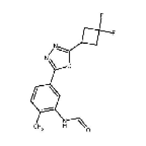 Cc1ccc(-c2nnc(C3CC(F)(F)C3)o2)cc1NC=O